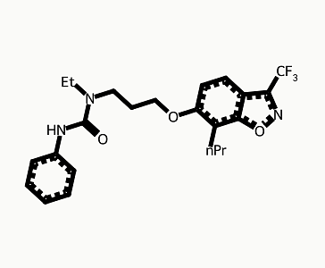 CCCc1c(OCCCN(CC)C(=O)Nc2ccccc2)ccc2c(C(F)(F)F)noc12